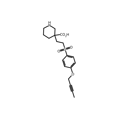 CC#CCOc1ccc(S(=O)(=O)CCC2(C(=O)O)CCCNC2)cc1